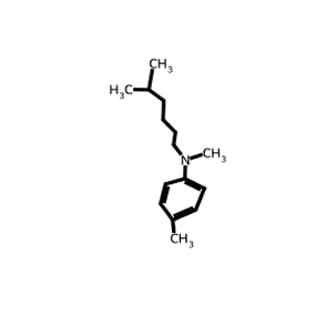 Cc1ccc(N(C)CCCCC(C)C)cc1